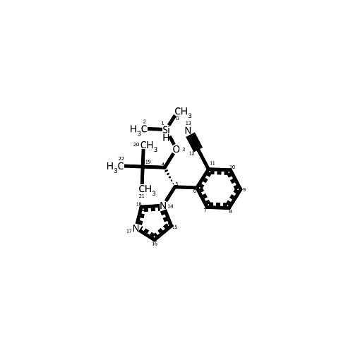 C[SiH](C)OC([C@H](c1ccccc1C#N)n1ccnc1)C(C)(C)C